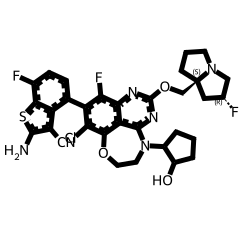 N#Cc1c(N)sc2c(F)ccc(-c3c(Cl)c4c5c(nc(OC[C@@]67CCCN6C[C@H](F)C7)nc5c3F)N(C3CCCC3O)CCO4)c12